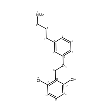 CNCCCc1cccc(OCc2c(Cl)cccc2Cl)c1